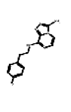 Nc1nnc2c(NCCc3ccc(Br)cc3)nccn12